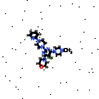 CN1CCN(c2nc(N3CCN(c4ccccn4)CC3)nc(N3CCOCC3)c2F)CC1